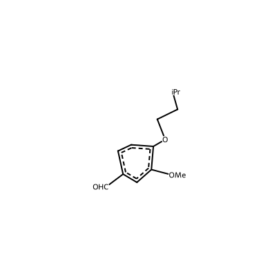 COc1cc(C=O)ccc1OCCC(C)C